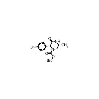 C[C@@H]1CN(C(=O)OC(C)(C)C)[C@@H](c2ccc(Br)cc2)C(=O)N1